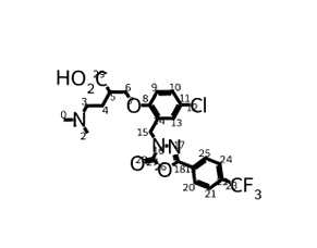 CN(C)CCC(COc1ccc(Cl)cc1Cn1nc(-c2ccc(C(F)(F)F)cc2)oc1=O)C(=O)O